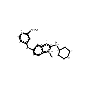 CC(=O)Nc1cc(Oc2ccc3c(c2)nc(NC2CCCCC2)n3C)ccn1